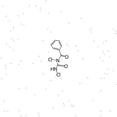 O=C(NCl)N(Cl)C(=O)c1ccccc1